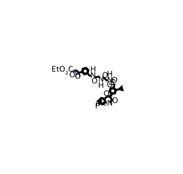 CCOC(=O)/C(O)=C/C(=O)c1cccc(CNC(=O)CNC(=O)CNS(=O)(=O)Cc2cc3oc(-c4ccc(F)cc4)c(C(=O)NC)c3cc2C2CC2)c1